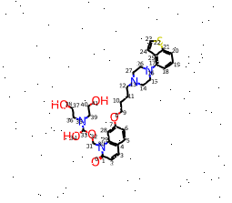 O=c1ccc2ccc(OCCCCN3CCN(c4cccc5sccc45)CC3)cc2n1COC(O)N(CCO)CCO